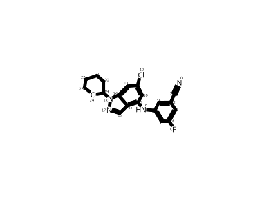 N#Cc1cc(F)cc(Nc2cc(Cl)cc3c2cnn3C2CCCCO2)c1